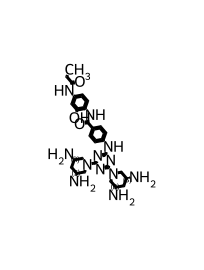 CCC(=O)Nc1ccc(NC(=O)c2ccc(Nc3nc(N4C[C@H](N)C[C@H](N)C4)nc(N4C[C@H](N)C[C@H](N)C4)n3)cc2)c(O)c1